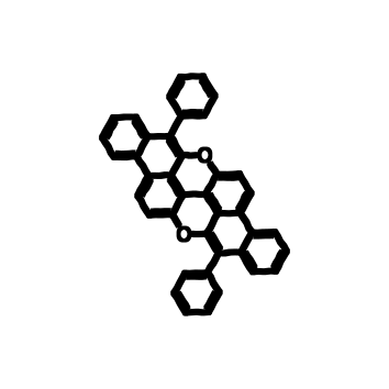 c1ccc(-c2c3ccccc3c3ccc4oc5c(-c6ccccc6)c6ccccc6c6ccc7oc2c3c4-c7c56)cc1